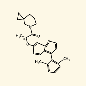 Cc1cccc(C)c1-c1ccnc2cc(O[C@H](C)C(=O)N3CCCC4(CC4)C3)ccc12